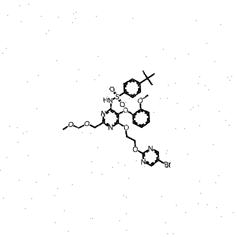 COCOCc1nc(NS(=O)(=O)c2ccc(C(C)(C)C)cc2)c(Oc2ccccc2OC)c(OCCOc2ncc(Br)cn2)n1